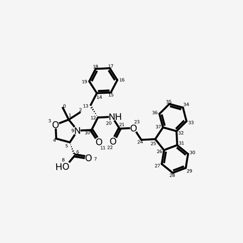 CC1(C)OC[C@@H](C(=O)O)N1C(=O)[C@H](Cc1ccccc1)NC(=O)OCC1c2ccccc2-c2ccccc21